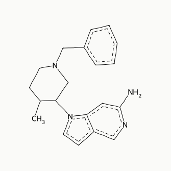 CC1CCN(Cc2ccccc2)CC1n1ccc2cnc(N)cc21